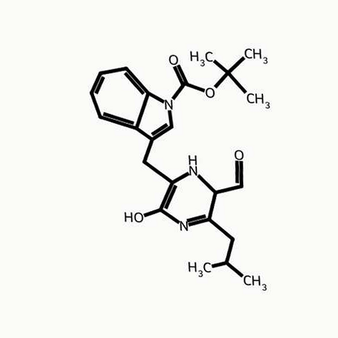 CC(C)CC1=NC(O)=C(Cc2cn(C(=O)OC(C)(C)C)c3ccccc23)NC1C=O